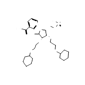 NC(=O)c1cccnc1.O=P(O)(O)OC[C@H]1OC(O)[C@H](OCCOC2CCCCC2)[C@@H]1OCCOC1CCCCC1